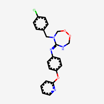 Clc1ccc(CN2COOCN/C2=N\c2ccc(Oc3ccccn3)cc2)cc1